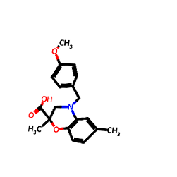 COc1ccc(CN2CC(C)(C(=O)O)Oc3ccc(C)cc32)cc1